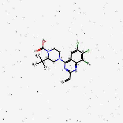 C=Cc1nc(N2CCN(C(=O)O)C(C(C)(C)C)C2)c2cc(Cl)c(Br)c(F)c2n1